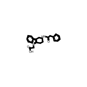 O=C(O)Cn1c2c(c3ccccc31)C[C@@H](NC(=O)Cc1ccccc1)CC2